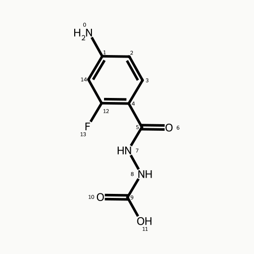 Nc1ccc(C(=O)NNC(=O)O)c(F)c1